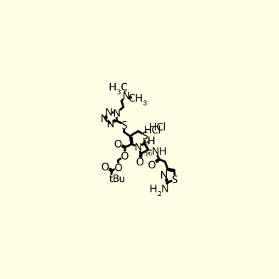 CN(C)CCn1nnnc1SCC1=C(C(=O)OCOC(=O)C(C)(C)C)N2C(=O)[C@@H](NC(=O)Cc3csc(N)n3)[C@@H]2SC1.Cl.Cl